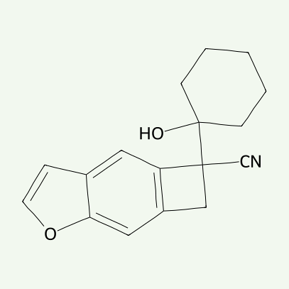 N#CC1(C2(O)CCCCC2)Cc2cc3occc3cc21